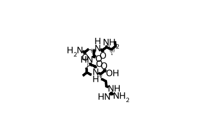 CC[C@H](C)[C@H](N)C(=O)N[C@@H](CC(N)=O)C(=O)N[C@@H](CC(C)C)C(=O)N[C@@H](CCCNC(=N)N)C(=O)O